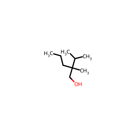 CCCC(C)(CO)[C](C)C